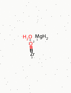 O.[MgH2].[O]=[Zr]